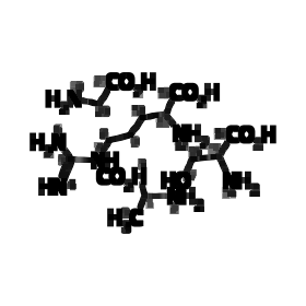 CC(N)C(=O)O.N=C(N)NCCCC(N)C(=O)O.NC(CO)C(=O)O.NCC(=O)O